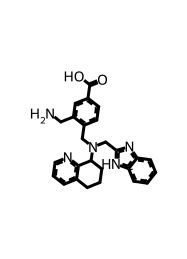 NCc1cc(C(=O)O)ccc1CN(Cc1nc2ccccc2[nH]1)C1CCCc2cccnc21